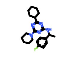 CC(Nc1nc(C2CCCCC2)nc(N2CCCCC2)n1)c1ccc(F)cc1